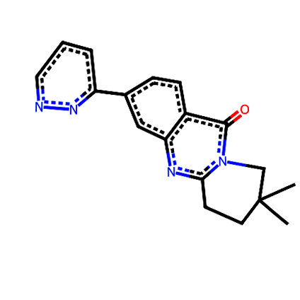 CC1(C)CCc2nc3cc(-c4cccnn4)ccc3c(=O)n2C1